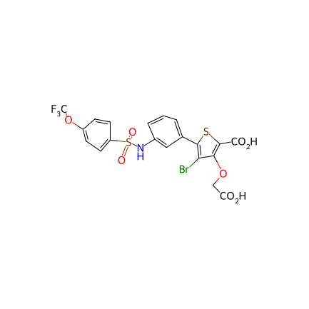 O=C(O)COc1c(C(=O)O)sc(-c2cccc(NS(=O)(=O)c3ccc(OC(F)(F)F)cc3)c2)c1Br